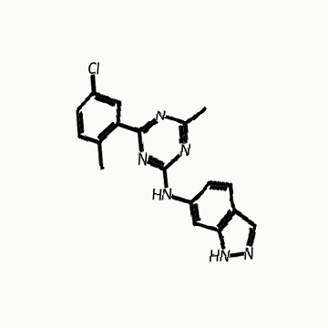 Cc1nc(Nc2ccc3cn[nH]c3c2)nc(-c2cc(Cl)ccc2C)n1